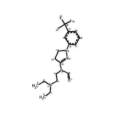 CCN(CC)CCN(C=O)C1=NN(c2cccc(C(F)(F)F)c2)CC1